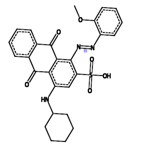 COc1ccccc1/N=N/c1c(S(=O)(=O)O)cc(NC2CCCCC2)c2c1C(=O)c1ccccc1C2=O